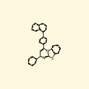 C1=C(c2ccc(-c3cccc4ccccc34)cc2)N2C(=NC1c1ccccc1)Sc1ccccc12